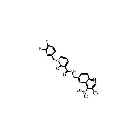 CCN(CC)c1c(C#N)cnc2ccc(CNC(=O)c3cccn(Cc4ccc(F)c(F)c4)c3=O)cc12